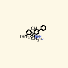 Cc1ccc(C(C)(C)C)cc1C1([Si](C)(C)C)C=CC(c2ccccc2)C=C1N